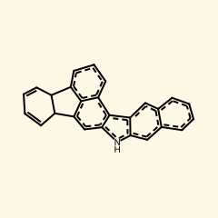 C1=CC2c3cccc4c3c(cc3[nH]c5cc6ccccc6cc5c34)C2C=C1